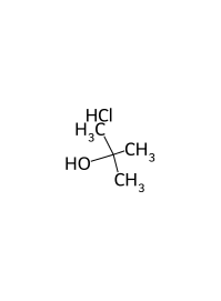 CC(C)(C)O.Cl